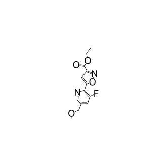 CCOC(=O)c1cc(-c2ncc(COC)cc2F)on1